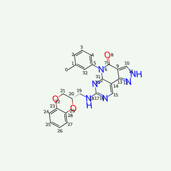 Cc1cccc(-n2c(=O)c3c[nH]nc3c3cnc(NC[C@H]4COc5ccccc5O4)nc32)c1